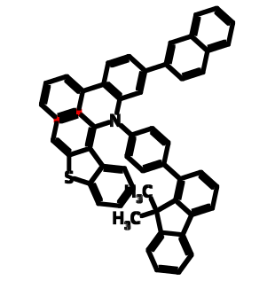 CC1(C)c2ccccc2-c2cccc(-c3ccc(N(c4cc(-c5ccc6ccccc6c5)ccc4-c4ccccc4)c4cccc5sc6ccccc6c45)cc3)c21